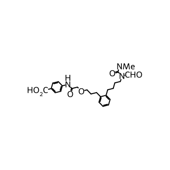 CNC(=O)N(C=O)CCCCc1ccccc1CCCOCC(=O)Nc1ccc(C(=O)O)cc1